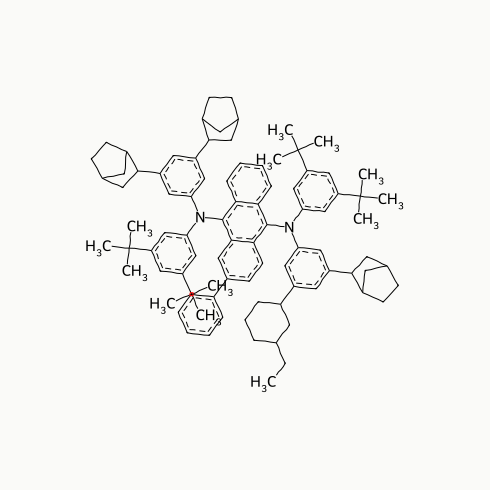 CCC1CCCC(c2cc(C3CC4CCC3C4)cc(N(c3cc(C(C)(C)C)cc(C(C)(C)C)c3)c3c4ccccc4c(N(c4cc(C5CC6CCC5C6)cc(C5CC6CCC5C6)c4)c4cc(C(C)(C)C)cc(C(C)(C)C)c4)c4cc(-c5ccccc5)ccc34)c2)C1